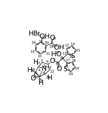 Br.C[N+]1(C)[C@@H]2CC(OC(=O)C(O)(c3cccs3)c3cccs3)C[C@H]1[C@@H]1O[C@@H]12.O=C(O)c1ccccc1O